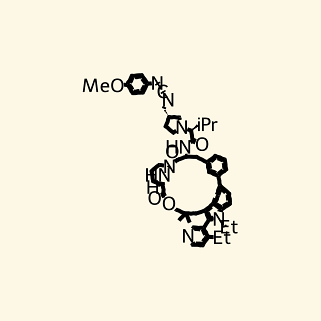 CCc1ccncc1-c1c2c3cc(ccc3n1CC)-c1cccc(c1)C[C@H](NC(=O)[C@H](C(C)C)N1CC[C@H](CN=C=Nc3ccc(OC)cc3)C1)C(=O)N1CCC[C@H](N1)C(=O)OCC(C)(C)C2